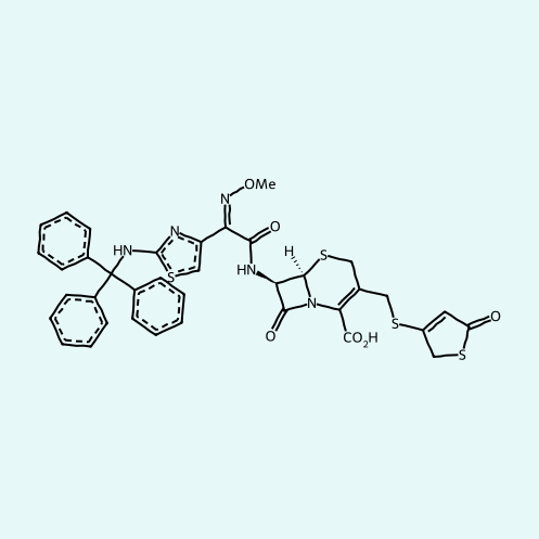 CO/N=C(\C(=O)N[C@@H]1C(=O)N2C(C(=O)O)=C(CSC3=CC(=O)SC3)CS[C@H]12)c1csc(NC(c2ccccc2)(c2ccccc2)c2ccccc2)n1